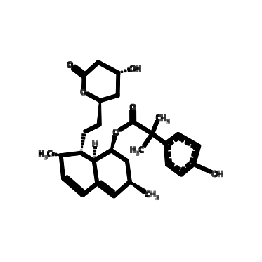 C[C@H]1C=C2C=C[C@H](C)[C@H](CC[C@@H]3C[C@@H](O)CC(=O)O3)[C@H]2[C@@H](OC(=O)C(C)(C)c2ccc(O)cc2)C1